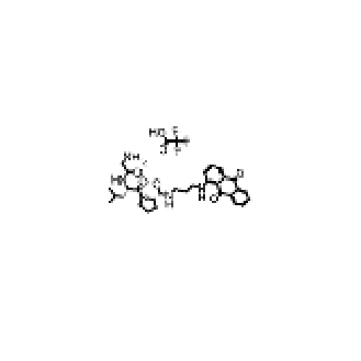 CC(C)C[C@H](NC(=O)CN)C(=O)N1CCC[C@H]1C(=O)NCCCNc1cccc2c1C(=O)c1ccccc1C2=O.O=C(O)C(F)(F)F